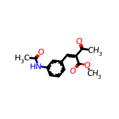 COC(=O)C(=Cc1cccc(NC(C)=O)c1)C(C)=O